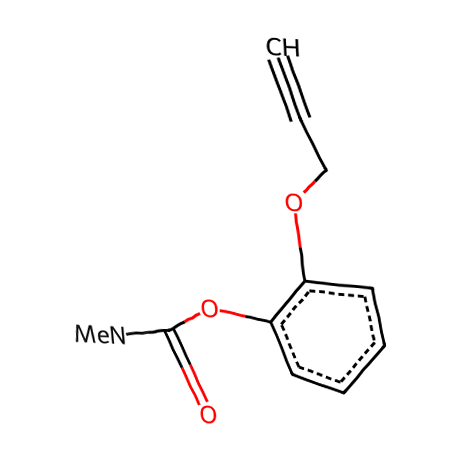 C#CCOc1ccccc1OC(=O)NC